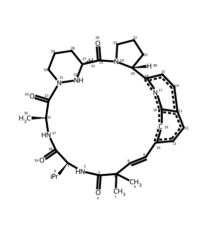 CC(C)[C@@H]1NC(=O)C(C)(C)/C=C/c2ccc3ccc(nc3c2)[C@H]2CCCN2C(=O)[C@@H]2CCCN(N2)C(=O)[C@H](C)NC1=O